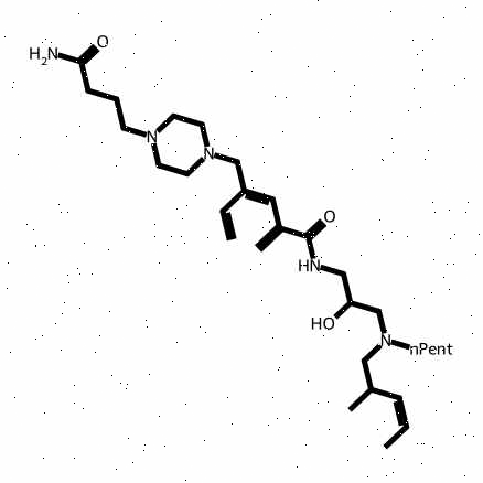 C=C/C(=C\C(=C)C(=O)NCC(O)CN(CCCCC)CC(C)/C=C\C)CN1CCN(CCCC(N)=O)CC1